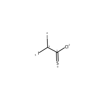 S=C(Cl)C(I)I